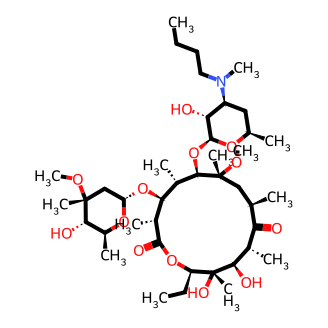 CCCCN(C)[C@H]1C[C@@H](C)O[C@@H](O[C@@H]2[C@@H](C)[C@H](O[C@H]3C[C@@](C)(OC)[C@@H](O)[C@H](C)O3)[C@@H](C)C(=O)O[C@H](CC)[C@@](C)(O)[C@H](O)[C@@H](C)C(=O)[C@H](C)C[C@@]2(C)OC)[C@@H]1O